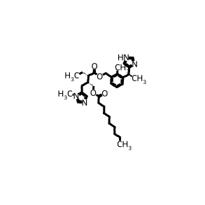 CCCCCCCCCC(=O)OC[C@H](Cc1cncn1C)[C@H](CC)C(=O)OCc1cccc([C@H](C)c2c[nH]cn2)c1C